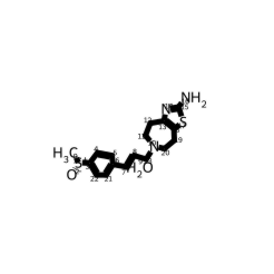 C[S+]([O-])c1ccc(C=CCN2CCc3nc(N)sc3CC2)cc1.O